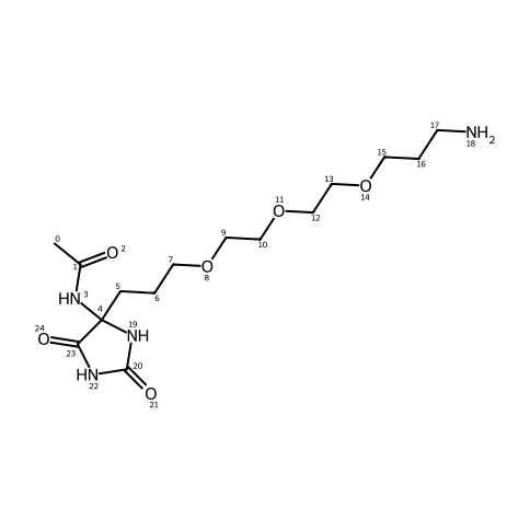 CC(=O)NC1(CCCOCCOCCOCCCN)NC(=O)NC1=O